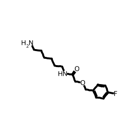 NCCCCCCNC(=O)COCc1ccc(F)cc1